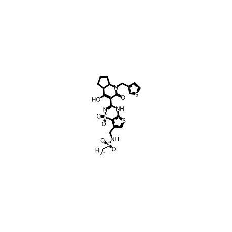 CS(=O)(=O)NCc1csc2c1S(=O)(=O)N=C(C1=C(O)C3CCCC3N(Cc3ccsc3)C1=O)N2